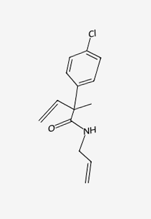 C=CCNC(=O)C(C)(C=C)c1ccc(Cl)cc1